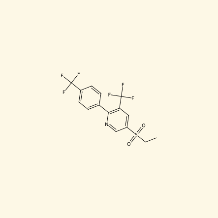 CCS(=O)(=O)c1cnc(-c2ccc(C(F)(F)F)cc2)c(C(F)(F)F)c1